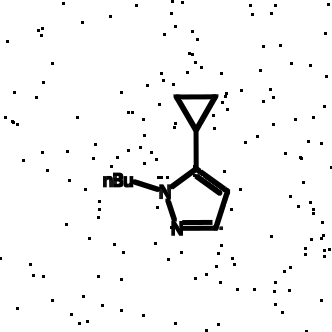 CCCCn1n[c]cc1C1CC1